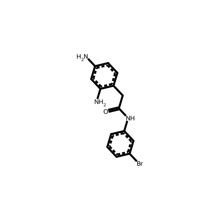 Nc1ccc(CC(=O)Nc2cccc(Br)c2)c(N)c1